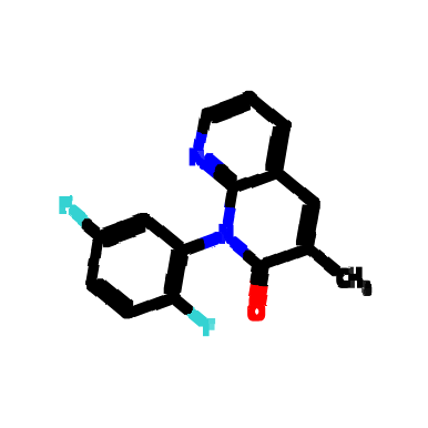 Cc1cc2cccnc2n(-c2cc(F)ccc2F)c1=O